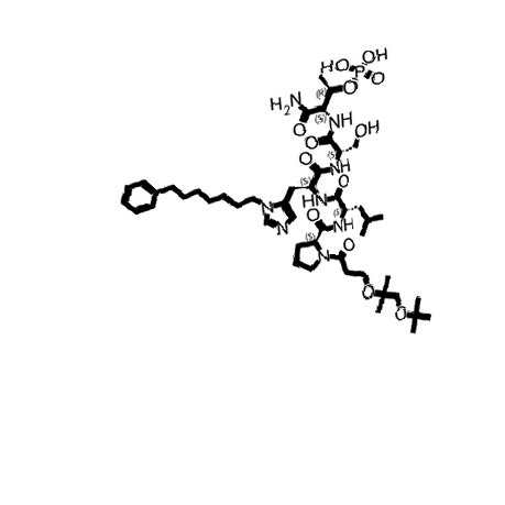 CC(C)C[C@H](NC(=O)[C@@H]1CCCN1C(=O)CCOC(C)(C)COC(C)(C)C)C(=O)N[C@@H](Cc1cncn1CCCCCCCc1ccccc1)C(=O)N[C@@H](CO)C(=O)N[C@H](C(N)=O)[C@@H](C)OP(=O)(O)O